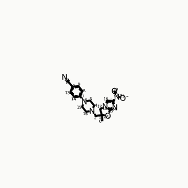 CC1(CN2CCN(c3ccc(C#N)cc3)CC2)Cn2cc([N+](=O)[O-])nc2O1